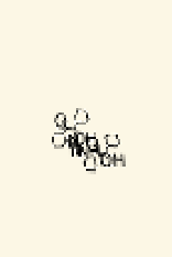 O=C(c1ccccc1N=NNc1ccccc1C(=O)C(O)c1ccccc1)C(O)c1ccccc1